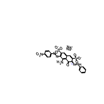 Nc1c(N=Nc2ccc([N+](=O)[O-])cc2)c(S(=O)(=O)[O-])cc2c1C(=O)/C(=N/Nc1ccccc1)C(S(=O)(=O)[O-])=C2.[Na+].[Na+]